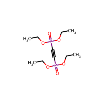 CCOP(=O)(C#CP(=O)(OCC)OCC)OCC